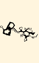 C=C1NC(=O)NC(C(=O)NC2CCCc3c(OC)cccc32)=C1N